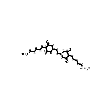 O=C(O)CCCCCC1C(=O)CN(CCN2CC(=O)C(CCCCCC(=O)O)C(=O)C2)CC1=O